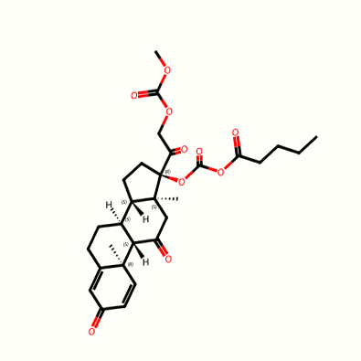 CCCCC(=O)OC(=O)O[C@]1(C(=O)COC(=O)OC)CC[C@H]2[C@@H]3CCC4=CC(=O)C=C[C@]4(C)[C@H]3C(=O)C[C@@]21C